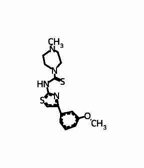 COc1cccc(-c2csc(NC(=S)N3CCN(C)CC3)n2)c1